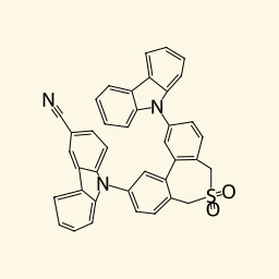 N#Cc1ccc2c(c1)c1ccccc1n2-c1ccc2c(c1)-c1cc(-n3c4ccccc4c4ccccc43)ccc1CS(=O)(=O)C2